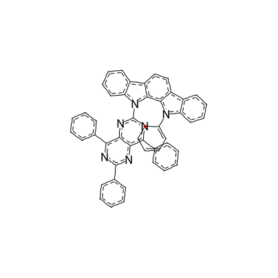 C1=CCCC(n2c3ccccc3c3ccc4c5ccccc5n(-c5nc(-c6ccccc6)c6nc(-c7ccccc7)nc(-c7ccccc7)c6n5)c4c32)=C1